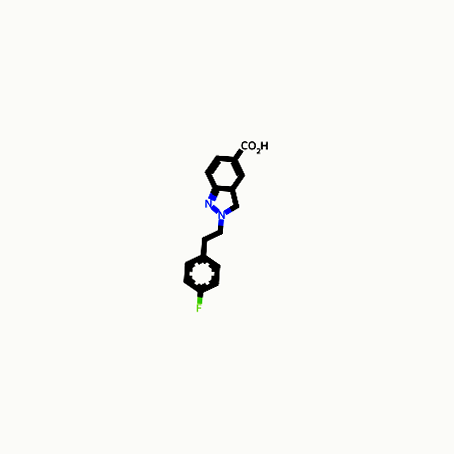 O=C(O)C1=CC2CN(CCc3ccc(F)cc3)N=C2C=C1